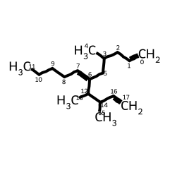 C=CCC(C)CC(=CCCCC)C(C)C(C)C=C